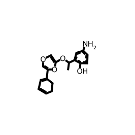 CC(OC1=COC=C(C2=CC=CCC2)O1)c1cc(N)ccc1O